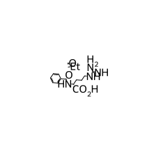 C=O.CCC.N=C(N)NCCCC(NC(=O)c1ccccc1)C(=O)O